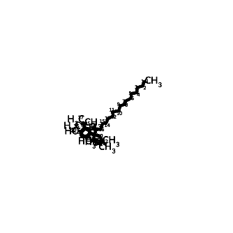 CCCCCCCCCCCCCCCCCC(=O)C(CC(C)(C)C)(C(=O)O)c1ccc(O)c(C(C)(C)C)c1